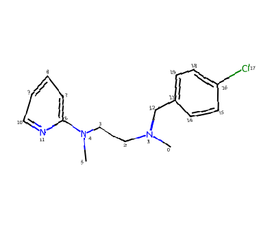 CN(CCN(C)c1ccccn1)Cc1ccc(Cl)cc1